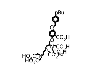 CCCCc1ccc(COc2ccc(OCC(CN(CCN(CC(=O)O)CC(=O)O)CC(=O)O)N(CC(=O)O)CC(=O)O)c(C(=O)O)c2)cc1